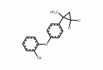 N#Cc1ccccc1Oc1ccc(C2(C(=O)O)CC2(Cl)Cl)cc1